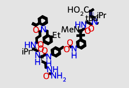 C=Cc1ccccc1N(Cc1ccccc1CC)C(=O)CCC(=O)N[C@H](C(=O)N[C@@H](CCCNC(N)=O)C(=O)Nc1ccc(COC(=O)Nc2cccc(C(C)(C)[C@@H](NC)C(=O)N[C@H](C(=O)N(C)[C@H](/C=C(\C)C(=O)O)C(C)C)C(C)(C)C)c2)cc1)C(C)C